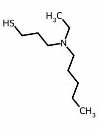 CCCCCN(CC)CCCS